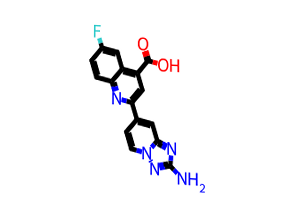 Nc1nc2cc(-c3cc(C(=O)O)c4cc(F)ccc4n3)ccn2n1